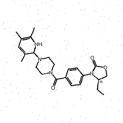 CC[C@@H]1COC(=O)N1c1ccc(C(=O)N2CCN(C3NC(C)=C(C)C=C3C)CC2)cc1